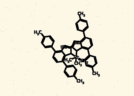 Cc1ccc(-c2ccc(-c3ccc(C)cc3)c3c2C=C(C(C)(C)C)[CH]3[Zr]([CH3])([CH3])(=[SiH2])[CH]2C(C(C)(C)C)=Cc3c(-c4ccc(C)cc4)ccc(-c4ccc(C)cc4)c32)cc1